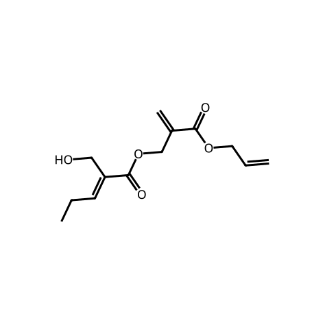 C=CCOC(=O)C(=C)COC(=O)C(=CCC)CO